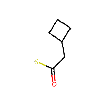 O=C([S])CC1CCC1